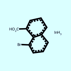 O=C(O)c1cccc2cccc(Br)c12.[InH3]